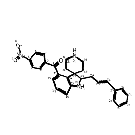 O=C(c1ccc([N+](=O)[O-])cc1)c1cccc2c1C1(CCNCC1)C(CC=Cc1ccccc1)N2